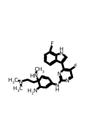 CNC1(CCN(C)C)C=CC(Nc2ncc(F)c(-c3c[nH]c4c(F)cccc34)n2)=CC1N